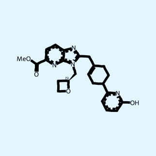 COC(=O)c1ccc2nc(CC3=CCC(c4cccc(O)n4)CC3)n(C[C@@H]3CCO3)c2n1